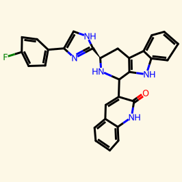 O=c1[nH]c2ccccc2cc1C1N[C@@H](c2nc(-c3ccc(F)cc3)c[nH]2)Cc2c1[nH]c1ccccc21